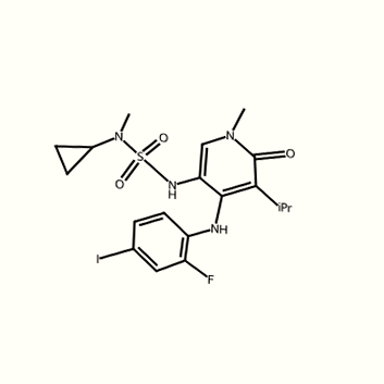 CC(C)c1c(Nc2ccc(I)cc2F)c(NS(=O)(=O)N(C)C2CC2)cn(C)c1=O